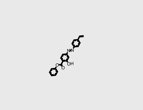 C=Cc1ccc(N=Nc2ccc(C(=O)Oc3ccccc3)c(O)c2)cc1